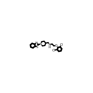 Clc1cccc(Cl)c1OCCNCC1CCN(c2nc3ccccc3s2)CC1